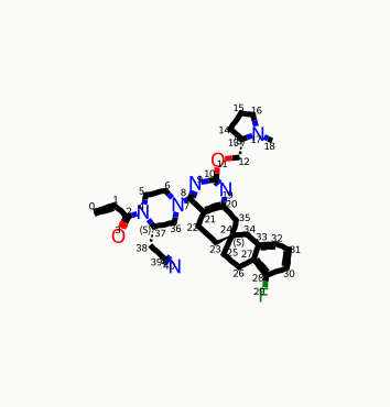 C=CC(=O)N1CCN(c2nc(OC[C@@H]3CCCN3C)nc3c2CC[C@@]2(CCc4c(F)cccc4C2)C3)C[C@@H]1CC#N